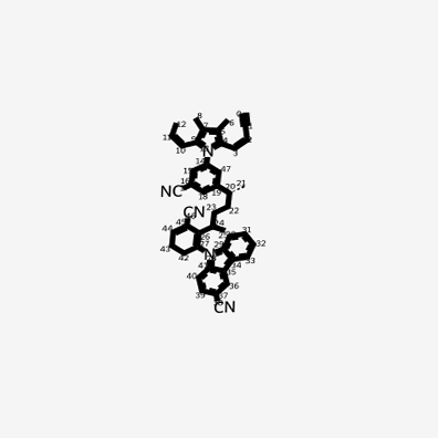 C#C/C=C\c1c(C)c(C)c(/C=C\C)n1-c1cc(C#N)cc([C@H](C)CCC(C)C2=C(n3c4ccccc4c4cc(C#N)ccc43)CCC=C2C#N)c1